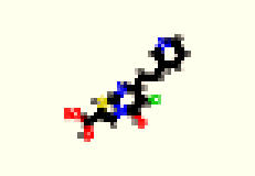 O=C(O)c1cn2c(=O)c(Cl)c(/C=C/c3cccnc3)nc2s1